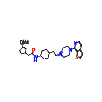 COC1CCC(CC(=O)NC2CCC(CCN3CCN(c4nccc5ccsc45)CC3)CC2)C1